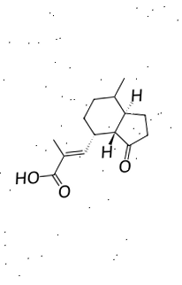 C/C(=C\[C@@H]1CCC(C)[C@H]2CCC(=O)[C@H]12)C(=O)O